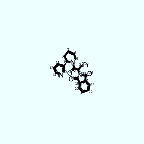 CC(C)C(C(=O)N1CC=CC[C@@H]1c1cccnc1)N1C(=O)c2ccccc2C1=O